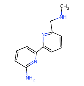 CNCc1cccc(-c2cccc(N)n2)n1